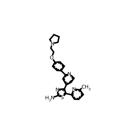 Cc1cccc(-c2sc(N)nc2-c2ccnc(-c3ccc(OCCN4CCCC4)cc3)c2)n1